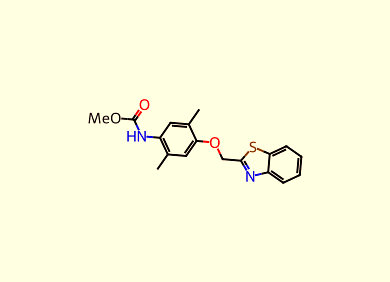 COC(=O)Nc1cc(C)c(OCc2nc3ccccc3s2)cc1C